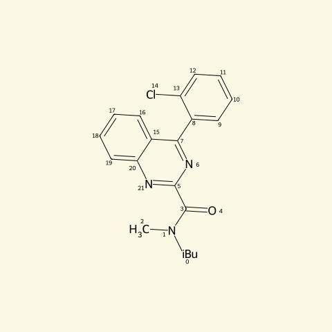 CCC(C)N(C)C(=O)c1nc(-c2ccccc2Cl)c2ccccc2n1